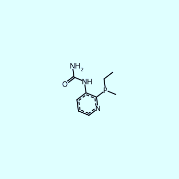 CCP(C)c1ncccc1NC(N)=O